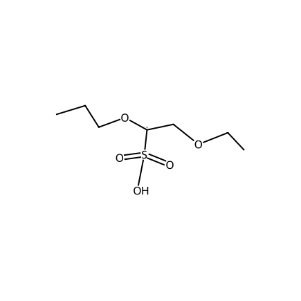 CCCO[C](COCC)S(=O)(=O)O